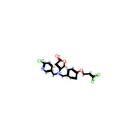 O=C1C=C(N(Cc2ccc(OCC=C(Cl)Cl)cc2)Cc2ccc(Cl)nc2)CO1